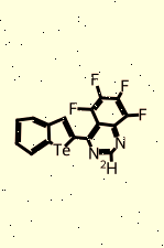 [2H]c1nc(-c2cc3ccccc3[te]2)c2c(F)c(F)c(F)c(F)c2n1